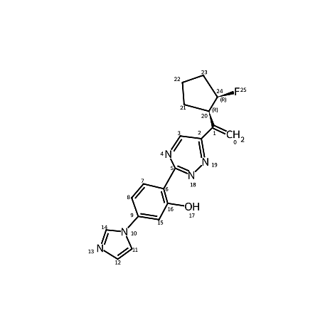 C=C(c1cnc(-c2ccc(-n3ccnc3)cc2O)nn1)[C@H]1CCC[C@H]1F